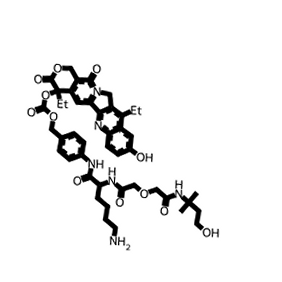 CCc1c2c(nc3ccc(O)cc13)-c1cc3c(c(=O)n1C2)COC(=O)C3(CC)OC(=O)OCc1ccc(NC(=O)C(CCCCN)NC(=O)COCC(=O)NC(C)(C)CCO)cc1